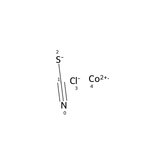 N#C[S-].[Cl-].[Co+2]